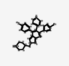 Fc1ccc(-c2nc3nn(CC4CCNCC4)cc3c(-c3ccc(F)cc3)c2-c2ccncc2)cc1